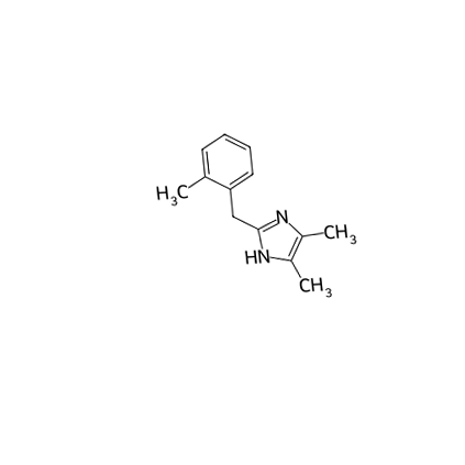 Cc1ccccc1Cc1nc(C)c(C)[nH]1